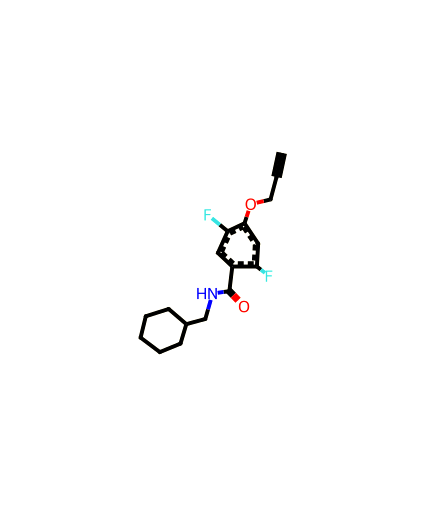 C#CCOc1cc(F)c(C(=O)NCC2CCCCC2)cc1F